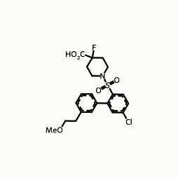 COCCc1cccc(-c2cc(Cl)ccc2S(=O)(=O)N2CCC(F)(C(=O)O)CC2)c1